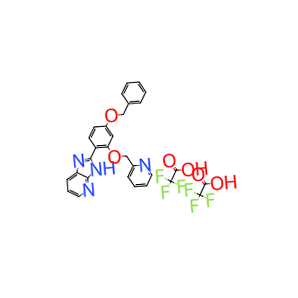 O=C(O)C(F)(F)F.O=C(O)C(F)(F)F.c1ccc(COc2ccc(-c3nc4cccnc4[nH]3)c(OCc3ccccn3)c2)cc1